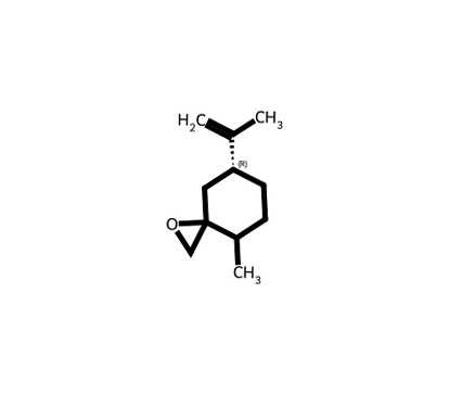 C=C(C)[C@@H]1CCC(C)C2(CO2)C1